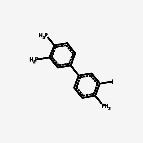 Pc1ccc(-c2ccc(P)c(I)c2)cc1P